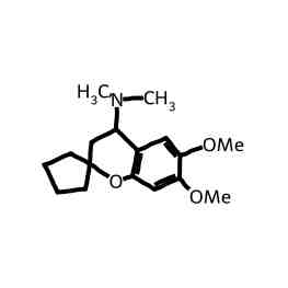 COc1cc2c(cc1OC)C(N(C)C)CC1(CCCC1)O2